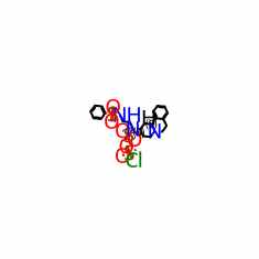 CS(=O)(=O)Cl.CS(=O)(=O)N(CCNS(=O)(=O)c1ccccc1)[C@H]1CCN2CCc3ccccc3[C@@H]2C1